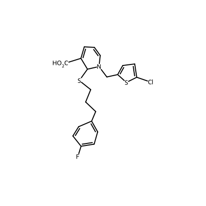 O=C(O)C1=CC=CN(Cc2ccc(Cl)s2)C1SCCCc1ccc(F)cc1